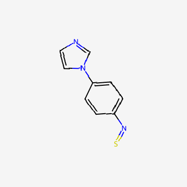 S=Nc1ccc(-n2ccnc2)cc1